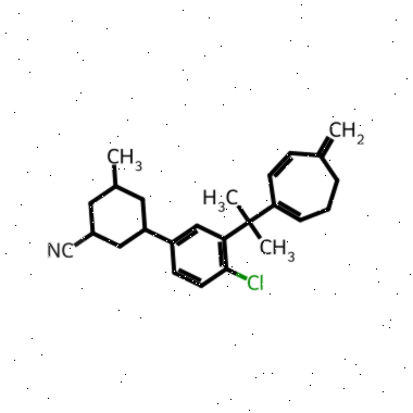 C=C1C=CC(C(C)(C)c2cc(C3CC(C)CC(C#N)C3)ccc2Cl)=CCC1